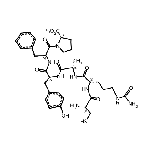 C[C@H](NC(=O)[C@H](CCCNC(N)=O)NC(=O)[C@@H](N)CS)C(=O)N[C@@H](Cc1ccc(O)cc1)C(=O)N[C@@H](Cc1ccccc1)C(=O)N1CCC[C@H]1C(=O)O